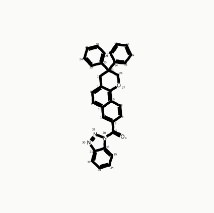 O=C(c1ccc2c3c(ccc2c1)CC(c1ccccc1)(c1ccccc1)CO3)n1nnc2ccccc21